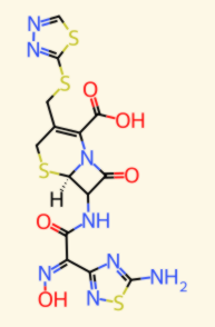 Nc1nc(/C(=N\O)C(=O)NC2C(=O)N3C(C(=O)O)=C(CSc4nncs4)CS[C@H]23)ns1